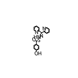 O=C(SNN=C(c1ccccn1)c1ccccn1)c1ccc(O)cc1